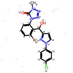 Cn1nnn(-c2cccc(Br)c2C(O)c2ccn(-c3ccc(Cl)cc3)n2)c1=O